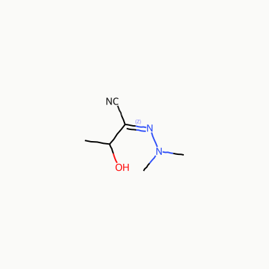 CC(O)/C(C#N)=N\N(C)C